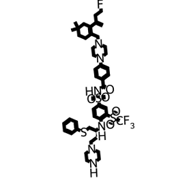 C=C(CCF)C1=C(CN2CCN(c3ccc(C(=O)NS(=O)(=O)c4ccc(N[C@H](CCN5CCNCC5)CSc5ccccc5)c(S(=O)(=O)C(F)(F)F)c4)cc3)CC2)CCC(C)(C)C1